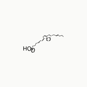 CCCC=CCCCC1=CCC(=CC=CCCCC(=O)O)C1=O